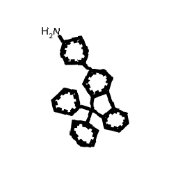 Nc1ccc(-c2ccc3c(c2)C(c2ccccc2)(c2ccccc2)c2ccccc2-3)cc1